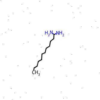 CCCCCCCCCCCC(N)N